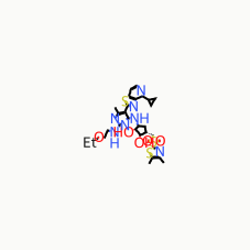 CCOCCNc1nc(C)c(-c2nc3c(C4CC4)nccc3s2)c(NC2C[C@H](CS(=O)(=O)c3nc(C)c(C)s3)[C@@H](O)[C@H]2O)n1